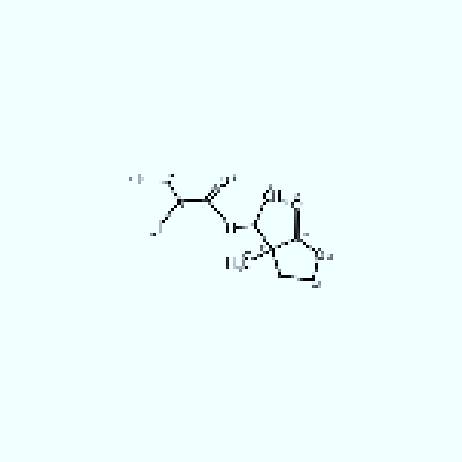 CC(OC(=O)C(I)CI)C1(C)CCOC1=O